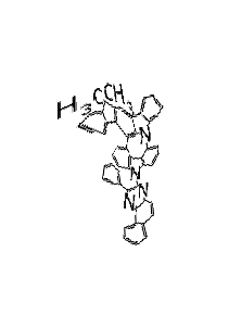 CC1(C)c2ccccc2-c2c1cc1c3ccccc3n3c4cccc5c4c4c(cccc4n5-c4nc5ccc6ccccc6c5nc4-c4ccccc4)c2c13